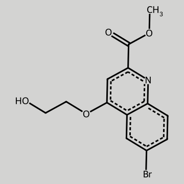 COC(=O)c1cc(OCCO)c2cc(Br)ccc2n1